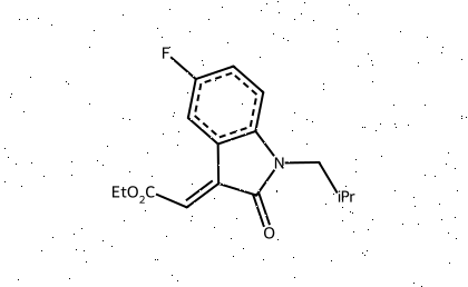 CCOC(=O)/C=C1/C(=O)N(CC(C)C)c2ccc(F)cc21